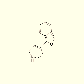 C1=C(c2occ3ccccc23)CCNC1